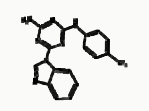 Nc1nc(Nc2ccc(C(F)(F)F)cc2)nc(-n2cnc3ccccc32)n1